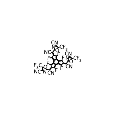 N#CC(=C1C(F)=c2c3c(c4c(c2=C1F)=C(F)C(=C(C#N)c1nc(C#N)c(C(F)(F)F)o1)C=4F)=C(F)C(=C(C#N)c1nc(C#N)c(C(F)(F)F)o1)C=3F)c1nc(C#N)c(C(F)(F)F)o1